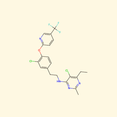 CCc1nc(C)nc(NCCc2ccc(Oc3ccc(C(F)(F)F)cn3)c(Cl)c2)c1Cl